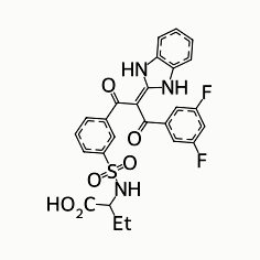 CCC(NS(=O)(=O)c1cccc(C(=O)C(C(=O)c2cc(F)cc(F)c2)=C2Nc3ccccc3N2)c1)C(=O)O